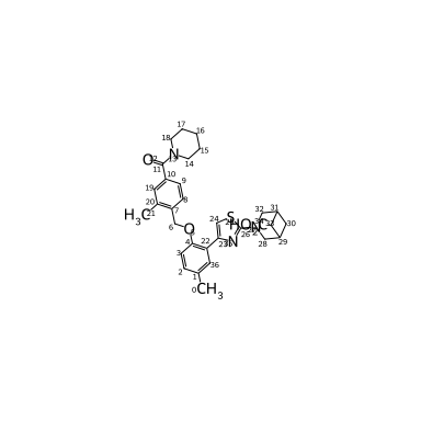 Cc1ccc(OCc2ccc(C(=O)N3CCCCC3)cc2C)c(-c2csc(N3CC4CC(C3)C4C(=O)O)n2)c1